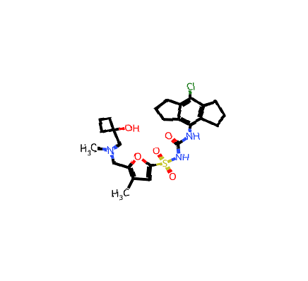 Cc1cc(S(=O)(=O)NC(=O)Nc2c3c(c(Cl)c4c2CCC4)CCC3)oc1CN(C)CC1(O)CCC1